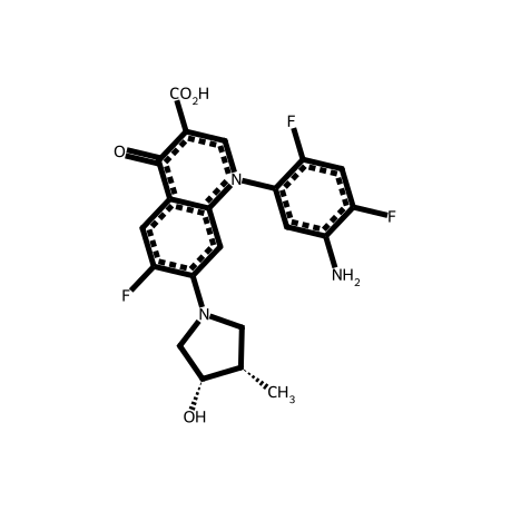 C[C@H]1CN(c2cc3c(cc2F)c(=O)c(C(=O)O)cn3-c2cc(N)c(F)cc2F)C[C@H]1O